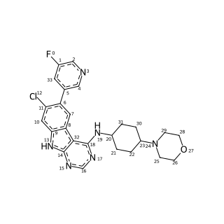 Fc1cncc(-c2cc3c(cc2Cl)[nH]c2ncnc(NC4CCC(N5CCOCC5)CC4)c23)c1